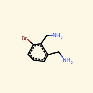 NCc1cccc(Br)c1CN